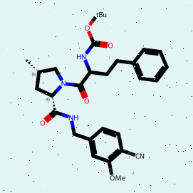 COc1cc(CNC(=O)[C@@H]2C[C@H](C)CN2C(=O)C(CCc2ccccc2)NC(=O)OC(C)(C)C)ccc1C#N